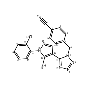 N#Cc1ccc(Cn2nnnc2-c2cnn(-c3ccccc3Cl)c2S)cc1